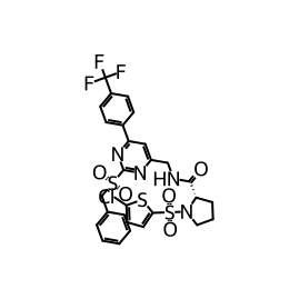 O=C(NCc1cc(-c2ccc(C(F)(F)F)cc2)nc(S(=O)(=O)Cc2ccccc2)n1)[C@@H]1CCCN1S(=O)(=O)c1ccc(Cl)s1